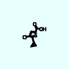 O=C(O)c1cc(Cl)c(C2CC2)s1